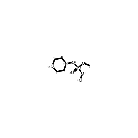 COP(=O)(OCl)ON1CCOCC1